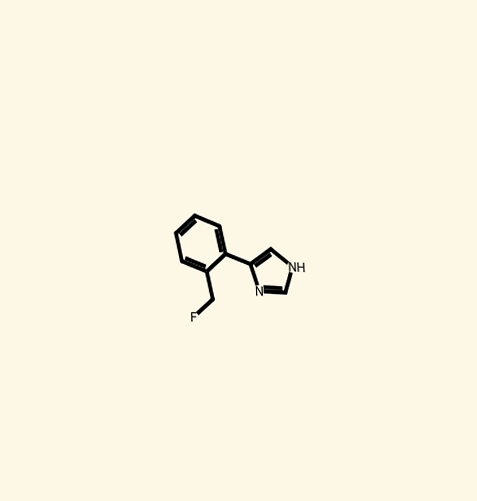 FCc1ccccc1-c1c[nH]cn1